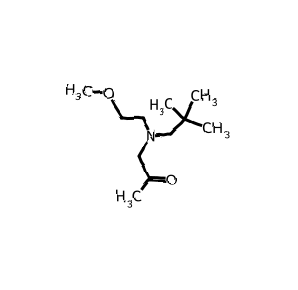 COCCN(CC(C)=O)CC(C)(C)C